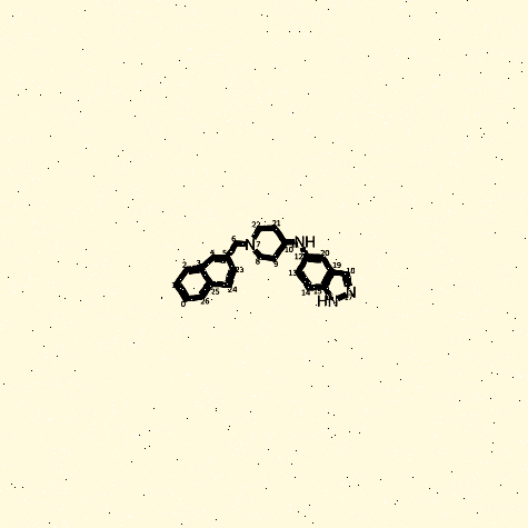 c1ccc2cc(CN3CCC(Nc4ccc5[nH]ncc5c4)CC3)ccc2c1